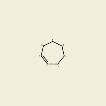 [C]1=CC[CH]CCC1